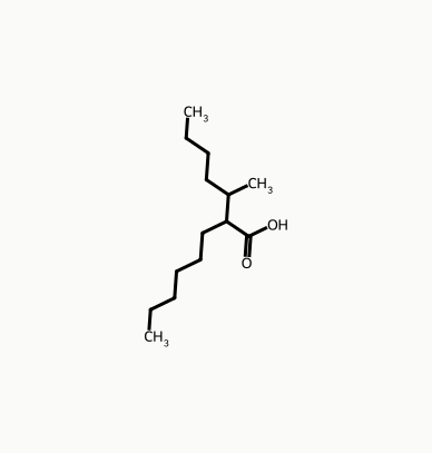 CCCCCCC(C(=O)O)C(C)CCCC